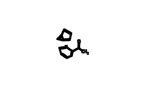 CC(=O)c1ccccn1.c1cc2cc-2c1